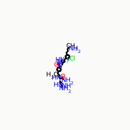 C[C@H](N)CCCc1cc(Cl)c(F)c(-c2cc3cn(-c4ccc([C@H](C)CN[C@@H](CCNC(=N)N)C(N)=O)cc4)c(=O)nc3[nH]2)c1